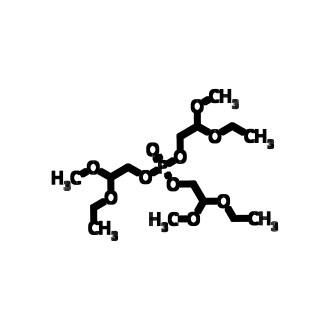 CCOC(COP(=O)(OCC(OC)OCC)OCC(OC)OCC)OC